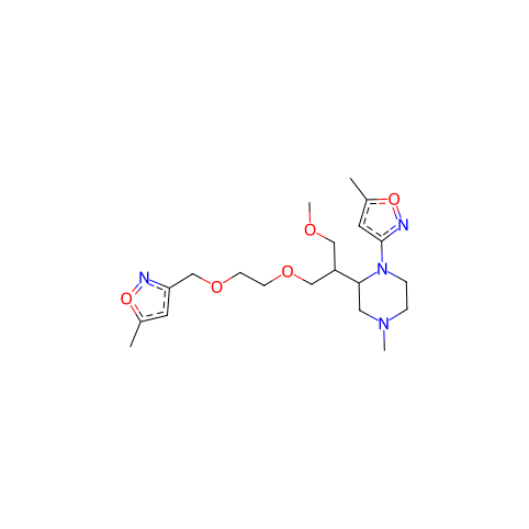 COCC(COCCOCc1cc(C)on1)C1CN(C)CCN1c1cc(C)on1